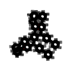 c1ccc(-c2ccc(N(c3ccc(-c4ccccc4)cc3)c3cc(N(c4ccc(-c5ccccc5)cc4)c4ccc(-c5ccccc5)cc4)c(-c4ccc5c(c4)sc4ccccc45)cc3-c3ccc4c(c3)sc3ccccc34)cc2)cc1